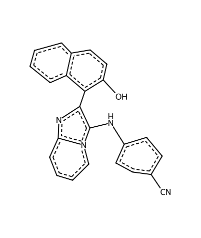 N#Cc1ccc(Nc2c(-c3c(O)ccc4ccccc34)nc3ccccn23)cc1